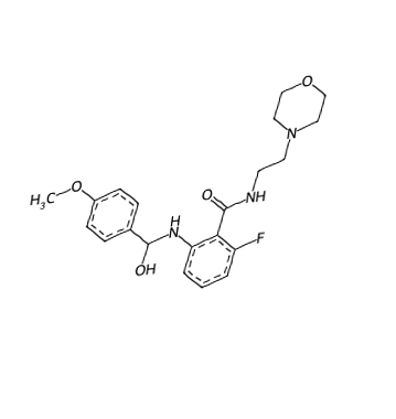 COc1ccc(C(O)Nc2cccc(F)c2C(=O)NCCN2CCOCC2)cc1